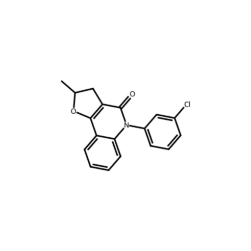 CC1Cc2c(c3ccccc3n(-c3cccc(Cl)c3)c2=O)O1